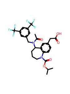 CC(=O)N(Cc1cc(C(F)(F)F)cc(C(F)(F)F)c1)C1CCCN(C(=O)OC(C)C)c2ccc(CC(=O)O)cc21